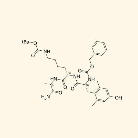 Cc1cc(O)cc(C)c1C[C@@H](NC(=O)OCc1ccccc1)C(=O)N[C@@H](CCCCNC(=O)OC(C)(C)C)C(=O)N[C@@H](C)C(N)=O